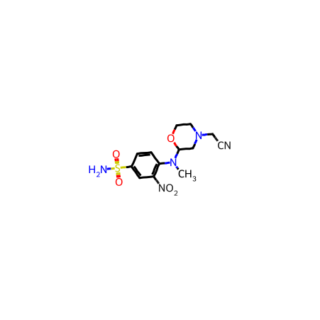 CN(c1ccc(S(N)(=O)=O)cc1[N+](=O)[O-])C1CN(CC#N)CCO1